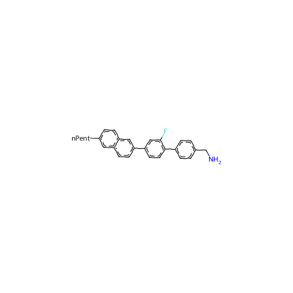 CCCCCc1ccc2cc(-c3ccc(-c4ccc(CN)cc4)c(F)c3)ccc2c1